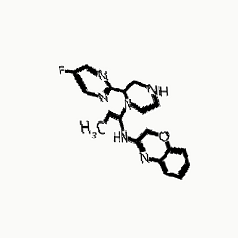 CCC(NC1=Nc2ccccc2OC1)N1CCNCC1c1ncc(F)cn1